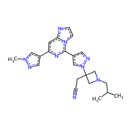 CC(C)CN1CC(CC#N)(n2cc(-c3nc(-c4cnn(C)c4)cc4nccn34)cn2)C1